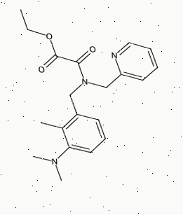 CCOC(=O)C(=O)N(Cc1ccccn1)Cc1cccc(N(C)C)c1C